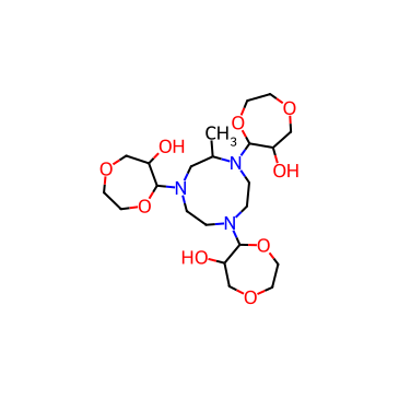 CC1CN(C2OCCOCC2O)CCN(C2OCCOCC2O)CCN1C1OCCOCC1O